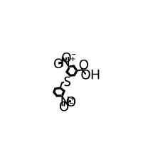 O=C(O)c1cc(SCc2cccc([N+](=O)[O-])c2)cc([N+](=O)[O-])c1